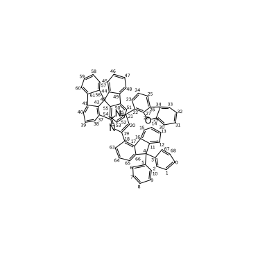 c1ccc(C2(c3ccccc3)c3ccccc3-c3c(-c4cc(-c5cccc6c5oc5ccccc56)nc(-c5cccc6c5C5(c7ccccc7-c7ccccc75)c5ccccc5-6)n4)cccc32)cc1